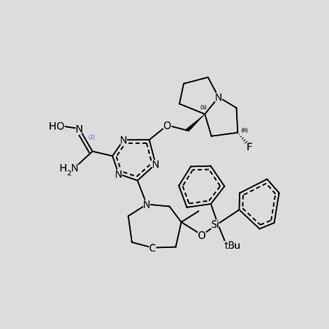 CC1(O[Si](c2ccccc2)(c2ccccc2)C(C)(C)C)CCCCN(c2nc(OC[C@@]34CCCN3C[C@H](F)C4)nc(/C(N)=N/O)n2)C1